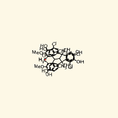 COc1c(O)cc(C)c(C(c2c(C)cc(O)c(OC)c2C)C(C(C)(c2ccc(O)cc2)c2ccc(O)cc2)C(C)(c2cc(Cl)c(O)c(Cl)c2)c2cc(Cl)c(O)c(Cl)c2)c1C